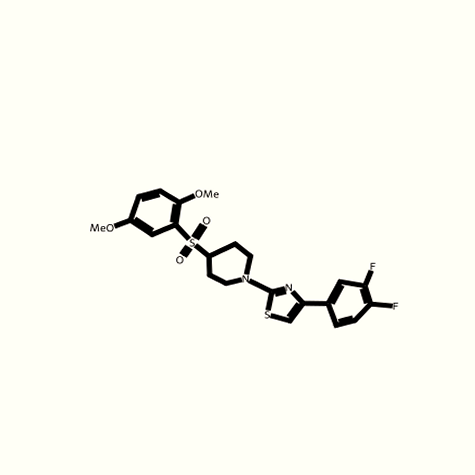 COc1ccc(OC)c(S(=O)(=O)C2CCN(c3nc(-c4ccc(F)c(F)c4)cs3)CC2)c1